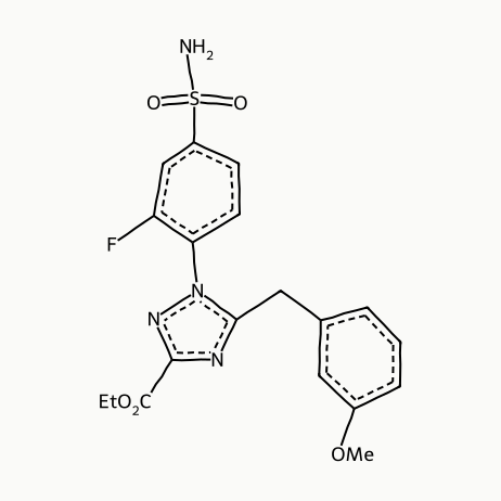 CCOC(=O)c1nc(Cc2cccc(OC)c2)n(-c2ccc(S(N)(=O)=O)cc2F)n1